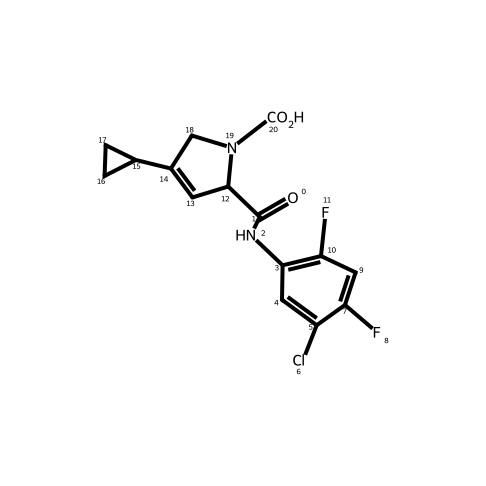 O=C(Nc1cc(Cl)c(F)cc1F)C1C=C(C2CC2)CN1C(=O)O